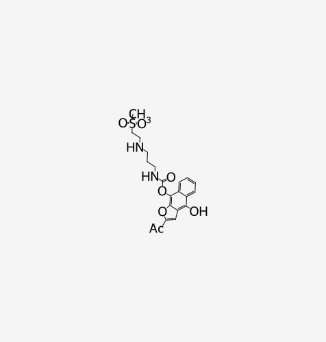 CC(=O)c1cc2c(O)c3ccccc3c(OC(=O)NCCCNCCS(C)(=O)=O)c2o1